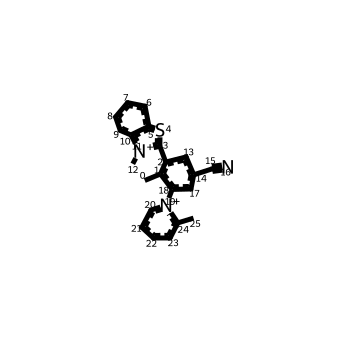 Cc1c(-c2sc3ccccc3[n+]2C)cc(C#N)cc1-[n+]1ccccc1C